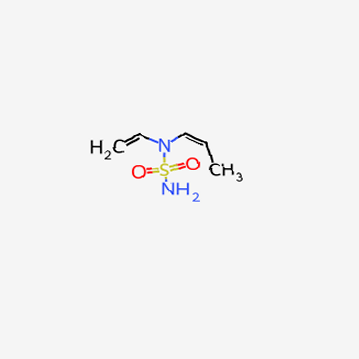 C=CN(/C=C\C)S(N)(=O)=O